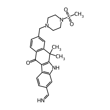 CC1(C)c2cc(CN3CCN(S(C)(=O)=O)CC3)ccc2C(=O)c2c1[nH]c1cc(C=N)ccc21